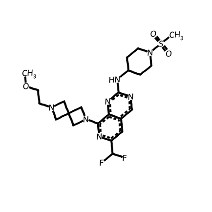 COCCN1CC2(C1)CN(c1nc(C(F)F)cc3cnc(NC4CCN(S(C)(=O)=O)CC4)nc13)C2